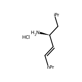 CCC/C=C/[C@@H](N)CC(C)C.Cl